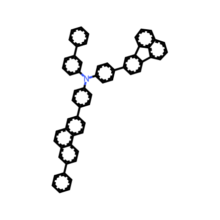 c1ccc(-c2cccc(N(c3ccc(-c4ccc5c(c4)-c4cccc6cccc-5c46)cc3)c3ccc(-c4ccc5c(ccc6cc(-c7ccccc7)ccc65)c4)cc3)c2)cc1